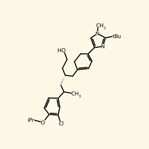 CC(C)Oc1ccc(C(C)C[C@H](CCO)CC2=CC=C(c3cn(C)c(C(C)(C)C)n3)CC2)cc1Cl